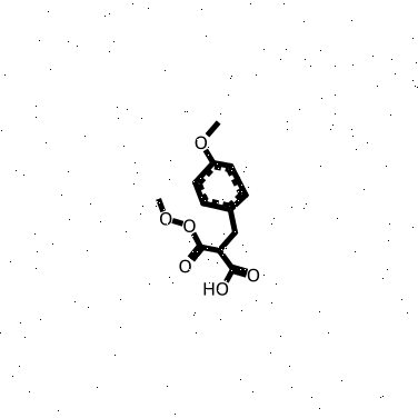 COOC(=O)C(Cc1ccc(OC)cc1)C(=O)O